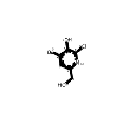 OCc1cc(Br)c(O)c(Cl)n1